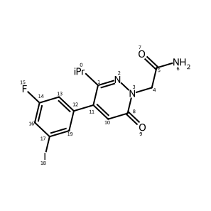 CC(C)c1nn(CC(N)=O)c(=O)cc1-c1cc(F)cc(I)c1